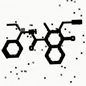 C#CCn1c(C)c(C(=O)N[C@@H](CC)c2cc#ccc2)c2ccccc2c1=O